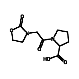 O=C(O)C1CCCN1C(=O)CN1CCOC1=O